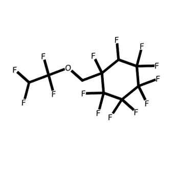 FC(F)C(F)(F)OCC1(F)C(F)C(F)(F)C(F)(F)C(F)(F)C1(F)F